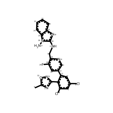 Cc1nc(-c2c(Cl)cc(Cl)cc2-c2cnc(CNc3nc4ccccc4n3N)c(F)c2)no1